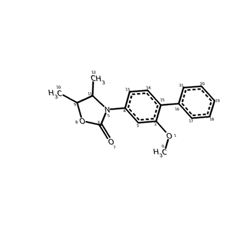 COc1cc(N2C(=O)OC(C)C2C)ccc1-c1ccccc1